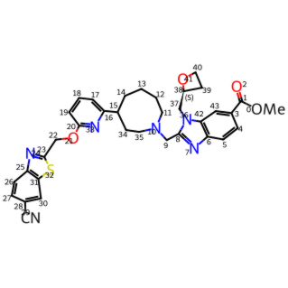 COC(=O)c1ccc2nc(CN3CCCCC(c4cccc(OCc5nc6ccc(C#N)cc6s5)n4)CC3)n(C[C@@H]3CCO3)c2c1